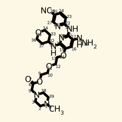 CN1CCN(CC(=O)OCCOCCOc2cc(NN)c(Nc3ccc(C#N)cn3)nc2NC2CCOCC2)CC1